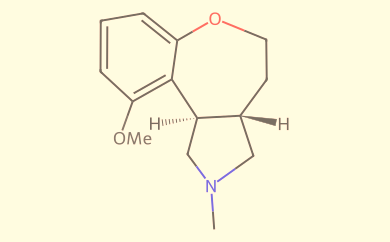 COc1cccc2c1[C@@H]1CN(C)C[C@H]1CCO2